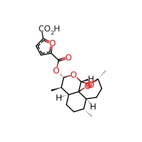 C[C@H]1[C@H](OC(=O)c2ccc(C(=O)O)o2)O[C@@H]2O[C@]3(C)CC[C@H]4[C@H](C)CC[C@@H]1C24OO3